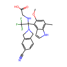 COc1cc(C)c2[nH]ccc2c1C(NCC(=O)O)(N1Cc2ccc(C#N)cc2C1)C(F)(F)F